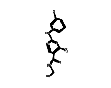 N#CCNC(=O)c1cnc(Nc2cccc(Cl)c2)nc1C(F)(F)F